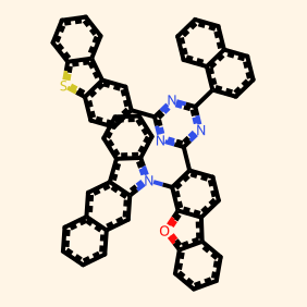 c1ccc2cc3c(cc2c1)c1ccccc1n3-c1c(-c2nc(-c3ccc4sc5ccccc5c4c3)nc(-c3cccc4ccccc34)n2)ccc2c1oc1ccccc12